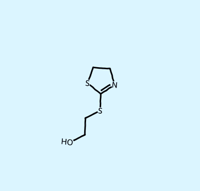 OCCSC1=NCCS1